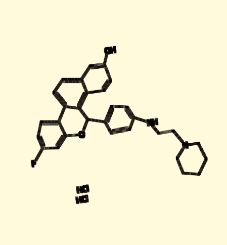 Cl.Cl.Oc1ccc2c3c(ccc2c1)-c1ccc(F)cc1OC3c1ccc(NCCN2CCCCC2)cc1